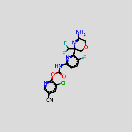 N#Cc1cnc(OC(=O)Nc2ccc(F)c(C3(C(F)F)COCC(N)=N3)n2)c(Cl)c1